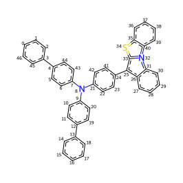 c1ccc(-c2ccc(N(c3ccc(-c4ccccc4)cc3)c3ccc(-c4c5ccccc5n5c4sc4ccccc45)cc3)cc2)cc1